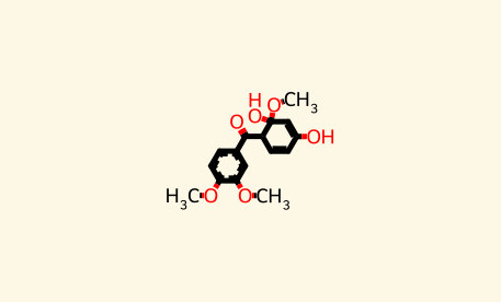 COc1ccc(C(=O)C2C=CC(O)=CC2(O)OC)cc1OC